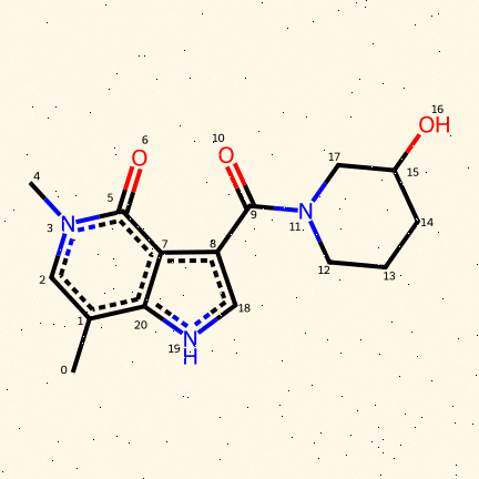 Cc1cn(C)c(=O)c2c(C(=O)N3CCCC(O)C3)c[nH]c12